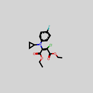 CCOC(=O)C(Cl)=C(C(=O)OCC)N(c1ccc(F)cc1)C1CC1